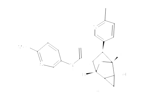 COc1ccc(NC(=O)[C@H]2[C@@H]3O[C@@H]([C@H]4C[C@H]43)[C@@H]2c2ccc(C)nc2)cn1